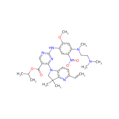 C=Cc1ccc2c(n1)C(C)(C)CN2c1nc(Nc2cc([N+](=O)[O-])c(N(C)CCN(C)C)cc2OC)ncc1C(=O)OC(C)C